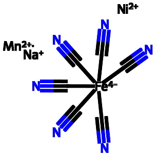 N#[C][Fe-4]([C]#N)([C]#N)([C]#N)([C]#N)[C]#N.[Mn+2].[Na+].[Ni+2]